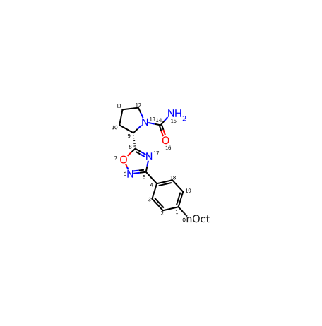 CCCCCCCCc1ccc(-c2noc([C@@H]3CCCN3C(N)=O)n2)cc1